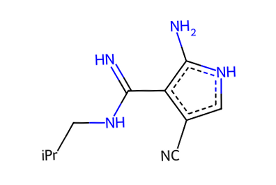 CC(C)CNC(=N)c1c(C#N)c[nH]c1N